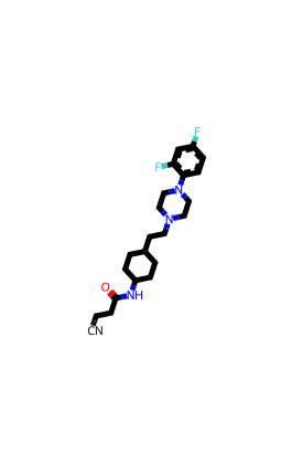 N#CCCC(=O)NC1CCC(CCN2CCN(c3ccc(F)cc3F)CC2)CC1